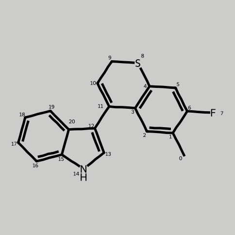 Cc1cc2c(cc1F)SCC=C2c1c[nH]c2ccccc12